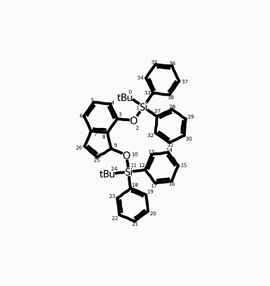 CC(C)(C)[Si](Oc1cccc2c1C(O[Si](c1ccccc1)(c1ccccc1)C(C)(C)C)[C]=C2)(c1ccccc1)c1ccccc1